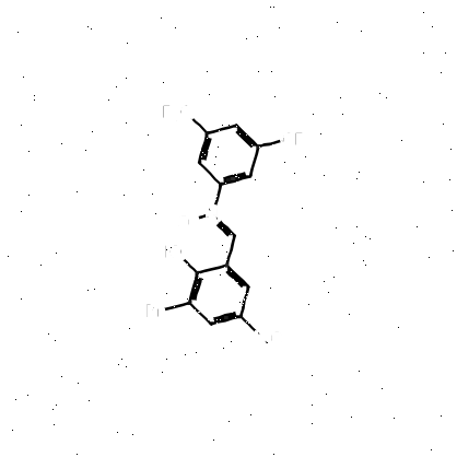 O=[N+]([O-])c1cc(Br)c(O)c(/C=[N+](\[O-])c2cc(C(F)(F)F)cc(C(F)(F)F)c2)c1